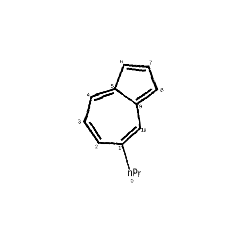 CCCc1cccc2cccc-2c1